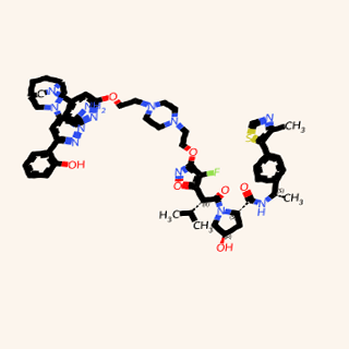 Cc1ncsc1-c1ccc([C@H](C)NC(=O)[C@@H]2C[C@@H](O)CN2C(=O)[C@@H](c2onc(OCCN3CCN(CCOc4cc(N5CC6CCC5CN(c5cc(-c7ccccc7O)nnc5N)C6)ccn4)CC3)c2F)C(C)C)cc1